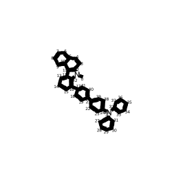 Cn1c2ccc3ccccc3c2c2cccc(-c3ccc(-c4ccc(N(c5ccccc5)c5ccccc5)cc4)cc3)c21